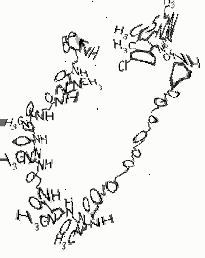 CCCNC(=O)CCNC(=O)c1nc(NC(=O)CCNC(=O)c2cc(NC(=O)c3nc(NC(=O)CCNC(=O)c4cc(NC(=O)c5nc(NC(=O)COCCOCCOCCOCCOCCOCCOCCOc6ccc(NC(=O)C[C@@H]7N=C(c8ccc(Cl)cc8)c8c(sc(C)c8C)-n8c(C)nnc87)cc6)cn5C)cn4C)cn3C)cn2C)cn1C